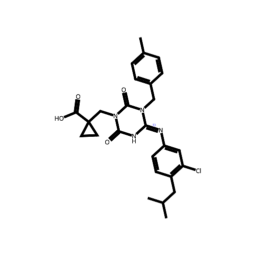 Cc1ccc(Cn2c(=O)n(CC3(C(=O)O)CC3)c(=O)[nH]/c2=N\c2ccc(CC(C)C)c(Cl)c2)cc1